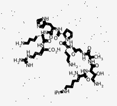 CC(C)NCCCCC(N)C(=O)N[C@H](C(=O)NC(C)C(=O)NCC(=O)N[C@H](CCCN)C(=O)N1CCC[C@H]1C(=O)NC(Cc1cnc[nH]1)C(=O)N[C@@H](CCCCN)C(=O)N/C(=C\CCNC(=N)N)C(=O)O)[C@@H](O)CN